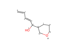 C=CC=CC(O)C1CCCOC1